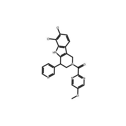 COc1cnc(C(=O)N2Cc3c([nH]c4c(Cl)c(Cl)ccc34)C(c3cccnc3)C2)nc1